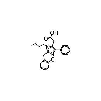 CCCCn1c(Cc2ccccc2Cl)nc(-c2ccccc2)c1CC(=O)O